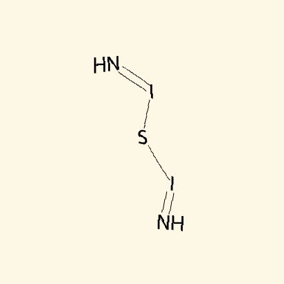 N=ISI=N